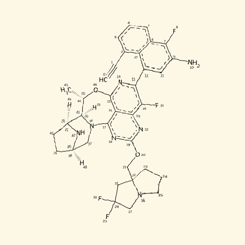 C#Cc1cccc2c(F)c(N)cc(-c3nc4c5c(nc(OCC67CCCN6CC(F)(F)C7)nc5c3F)N3C[C@H]5CC[C@H](N5)[C@H]3[C@H](C)O4)c12